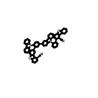 N#Cc1cccc2oc3ccc(-c4cc(-c5ccc6c(c5)c5ccccc5n6-c5ccccc5-c5ccc6oc7ccccc7c6c5C#N)ccc4-n4c5ccccc5c5ccccc54)cc3c12